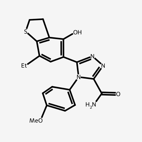 CCc1cc(-c2nnc(C(N)=O)n2-c2ccc(OC)cc2)c(O)c2c1SCC2